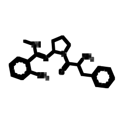 CNC(=NC1CCCN1C(=O)C(N)Cc1ccccc1)c1ccccc1N